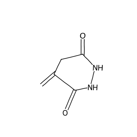 C=C1CC(=O)NNC1=O